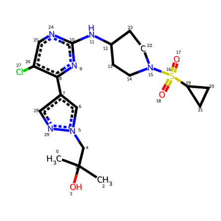 CC(C)(O)Cn1cc(-c2nc(NC3CCN(S(=O)(=O)C4CC4)CC3)ncc2Cl)cn1